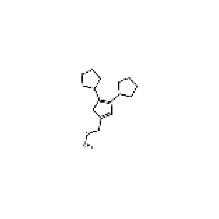 COCC1=CC(C2CCCC2)=C(C2CCCC2)C1